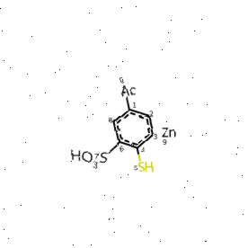 CC(=O)c1ccc(S)c(S(=O)(=O)O)c1.[Zn]